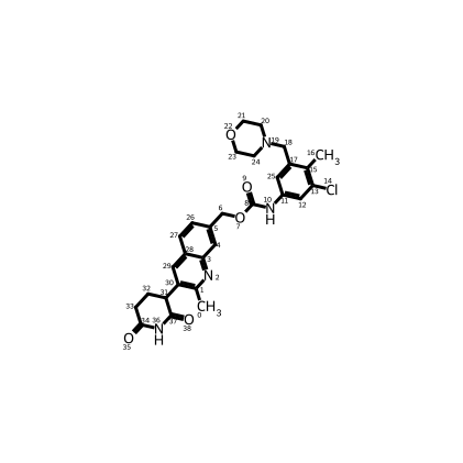 Cc1nc2cc(COC(=O)Nc3cc(Cl)c(C)c(CN4CCOCC4)c3)ccc2cc1C1CCC(=O)NC1=O